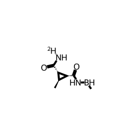 [2H]NC(=O)[C@H]1[C@H](C)[C@H]1C(=O)NBC